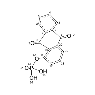 O=C1c2ccccc2C(=O)c2c(OP(=O)(O)O)cccc21